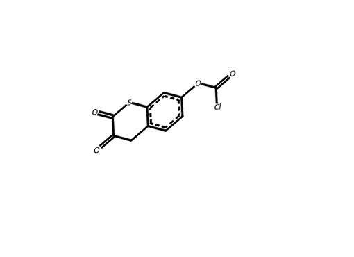 O=C(Cl)Oc1ccc2c(c1)SC(=O)C(=O)C2